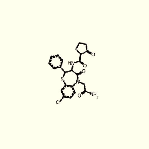 NC(=O)CN1C(=O)C(NC(=O)C2CCCC2=O)C(c2ccccc2)Sc2cc(Cl)ccc21